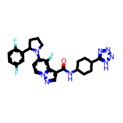 O=C(NC1CCC(c2nnn[nH]2)CC1)c1cnn2ccc(N3CCCC3c3cc(F)ccc3F)c(F)c12